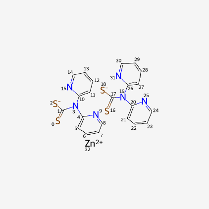 S=C([S-])N(c1ccccn1)c1ccccn1.S=C([S-])N(c1ccccn1)c1ccccn1.[Zn+2]